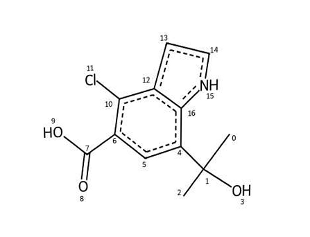 CC(C)(O)c1cc(C(=O)O)c(Cl)c2cc[nH]c12